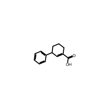 O=C(O)C1=CC(c2ccccc2)CCC1